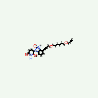 C#CCOCCCCCCOCC#Cc1cccc2c1n(C)c(=O)n2C1CCC(=O)NC1=O